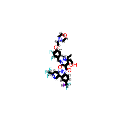 CCC1(CC)C(O)=C(C(=O)Nc2ccc(C(F)(F)I)cc2-c2ccc(C(F)(F)F)nc2)C(=O)N(Cc2ccc(OCCN3CCOCC3)c(F)c2F)N1C